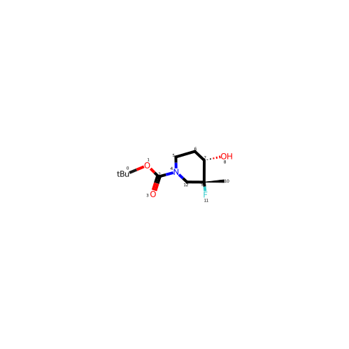 CC(C)(C)OC(=O)N1CC[C@H](O)[C@](C)(F)C1